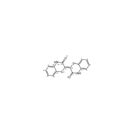 O=C1Nc2ccccc2S/C1=C1/Sc2ccccc2NC1=O